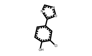 Oc1ccc(-c2ncno2)cc1Cl